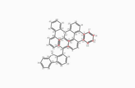 c1ccc(-c2ccccc2-c2c(-c3ccccc3)cccc2N(c2ccc(-c3cccc4c3sc3ccccc34)cc2)c2ccccc2-c2ccccc2)cc1